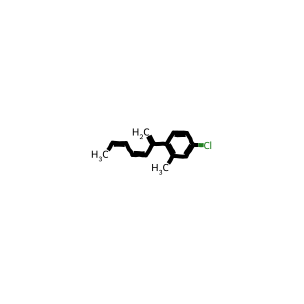 C=C(/C=C\C=C/C)c1ccc(Cl)cc1C